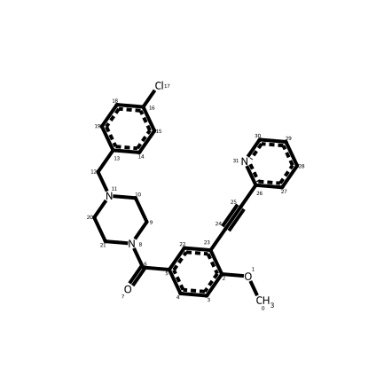 COc1ccc(C(=O)N2CCN(Cc3ccc(Cl)cc3)CC2)cc1C#Cc1ccccn1